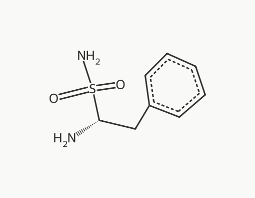 N[C@@H](Cc1ccccc1)S(N)(=O)=O